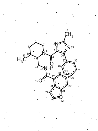 Cc1nc(C(=O)N2CCCC(C)C2CNC(=O)c2cccc3occc23)c(-c2ccccc2)s1